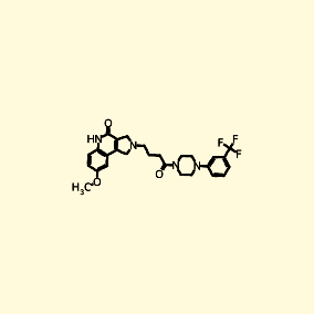 COc1ccc2[nH]c(=O)c3c(c2c1)CN(CCCC(=O)N1CCN(c2cccc(C(F)(F)F)c2)CC1)C3